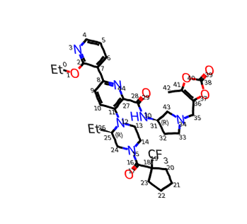 CCOc1ncccc1-c1ccc(N2CCN(C(=O)C3(C(F)(F)F)CCCC3)C[C@H]2CC)c(C(=O)N[C@@H]2CCN(Cc3oc(=O)oc3C)C2)n1